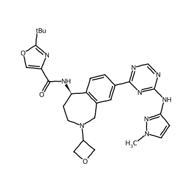 Cn1ccc(Nc2ncnc(-c3ccc4c(c3)CN(C3COC3)CC[C@H]4NC(=O)c3coc(C(C)(C)C)n3)n2)n1